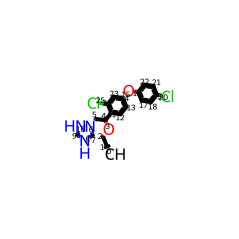 C#CCOC(CN1CNCN1)c1ccc(Oc2ccc(Cl)cc2)cc1Cl